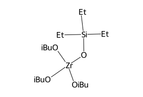 CC[Si](CC)(CC)[O][Zr]([O]CC(C)C)([O]CC(C)C)[O]CC(C)C